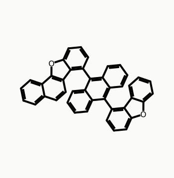 c1ccc2c(c1)ccc1c2oc2cccc(-c3c4ccccc4c(-c4cccc5oc6ccccc6c45)c4ccccc34)c21